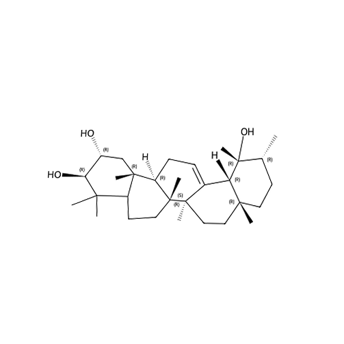 C[C@@H]1CC[C@]2(C)CC[C@]3(C)C(=CC[C@@H]4[C@@]5(C)C[C@@H](O)[C@H](O)C(C)(C)C5CC[C@]43C)[C@@H]2[C@]1(C)O